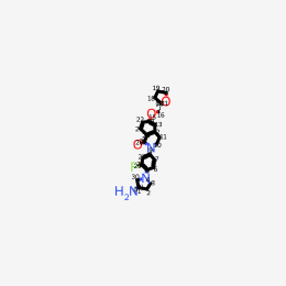 N[C@@H]1CCN(c2ccc(N3CCc4cc(OC[C@@H]5CCCO5)ccc4C3=O)cc2F)C1